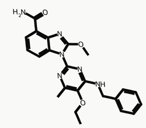 CCOc1c(C)nc(-n2c(OC)nc3c(C(N)=O)cccc32)nc1NCc1ccccc1